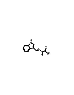 CC(C)C(=O)NN=Cc1c[nH]c2ccccc12